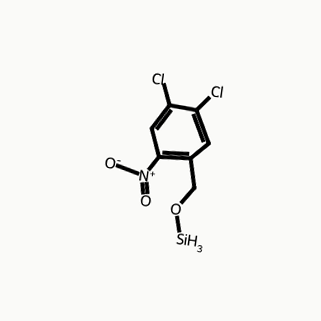 O=[N+]([O-])c1cc(Cl)c(Cl)cc1CO[SiH3]